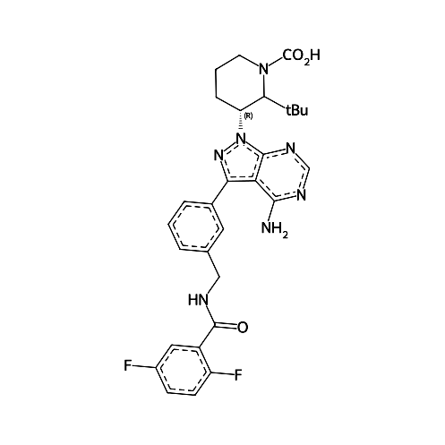 CC(C)(C)C1[C@H](n2nc(-c3cccc(CNC(=O)c4cc(F)ccc4F)c3)c3c(N)ncnc32)CCCN1C(=O)O